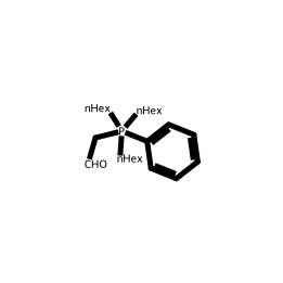 CCCCCCP(CC=O)(CCCCCC)(CCCCCC)c1ccccc1